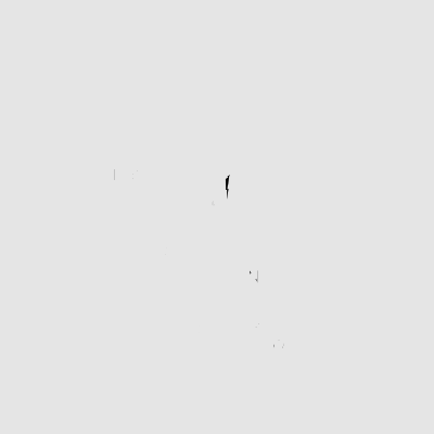 CCC(C)[C@]1(Cc2ccccc2)CCCN(C(C)=O)C1